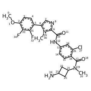 COc1ccc(-c2cnc(C(=O)Nc3ccc(C(=O)N(C)C4CC(N)C4)c(Cl)c3)n2C)c(F)c1F